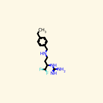 CCc1ccc(CNCCC(NC(=N)N)C(F)F)cc1